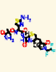 CC(C)(ON=C(C(=O)N[C@@H]1C(=O)N2C(C(=O)O)=C(C=C3CCN(C(F)C(F)F)C3=O)CS[C@H]12)c1csc(N)n1)C(N)=O